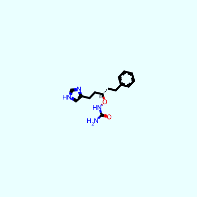 NC(=O)NO[C@@H](CCc1ccccc1)CCc1c[nH]cn1